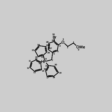 COCCOc1cc(C[PH](c2ccccc2)(c2ccccc2)c2ccccc2)ccc1Br